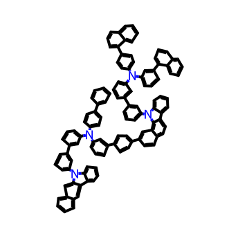 c1ccc(-c2ccc(N(c3cccc(-c4ccc(-c5ccc6ccc7c8ccccc8n(-c8cccc(-c9cccc(N(c%10ccc(-c%11cccc%12ccccc%11%12)cc%10)c%10cccc(-c%11cccc%12ccccc%11%12)c%10)c9)c8)c7c6c5)cc4)c3)c3cccc(-c4cccc(-n5c6ccccc6c6cc7ccccc7cc65)c4)c3)cc2)cc1